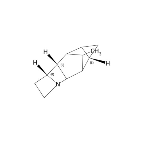 CC1C2C3[C@@H](C1C1C[C@@H]12)[C@H]1CCN31